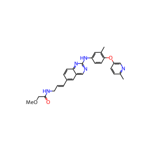 COCC(=O)NCC=Cc1ccc2nc(Nc3ccc(Oc4ccc(C)nc4)c(C)c3)ncc2c1